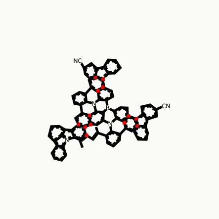 C/C=C\C=C(/C)c1cccc(-c2ccccc2)c1N1c2cc(-n3c4ccccc4c4cc(C#N)ccc43)ccc2B2c3ccc(-n4c5ccccc5c5cc(C#N)ccc54)cc3N(c3c(-c4ccccc4)cccc3-c3ccccc3)c3cc(-c4ccc5c(c4)c4cccc6c7ccccc7n5c64)cc1c32